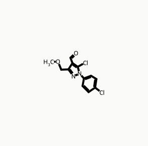 COCc1nn(-c2ccc(Cl)cc2)c(Cl)c1C=O